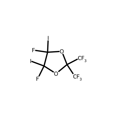 FC(F)(F)C1(C(F)(F)F)OC(F)(I)C(F)(I)O1